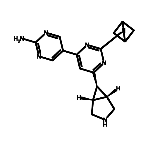 Nc1ncc(-c2cc([C@H]3[C@@H]4CNC[C@@H]43)nc(N3CC4CC3C4)n2)cn1